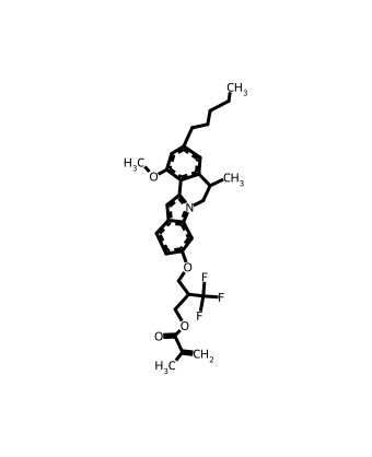 C=C(C)C(=O)OCC(COc1ccc2cc3n(c2c1)CC(C)c1cc(CCCCC)cc(OC)c1-3)C(F)(F)F